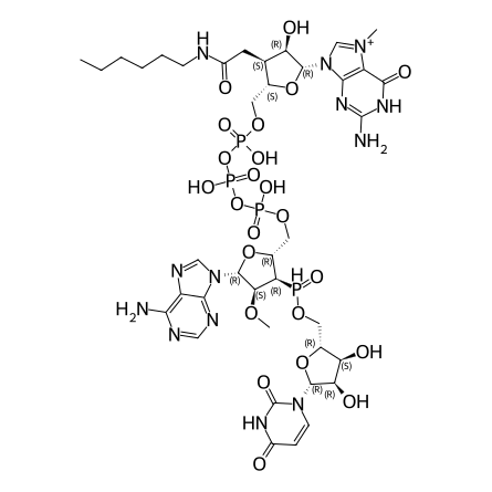 CCCCCCNC(=O)C[C@H]1[C@@H](O)[C@H](n2c[n+](C)c3c(=O)[nH]c(N)nc32)O[C@@H]1COP(=O)(O)OP(=O)(O)OP(=O)(O)OC[C@H]1O[C@@H](n2cnc3c(N)ncnc32)[C@H](OC)[C@@H]1[PH](=O)OC[C@H]1O[C@@H](n2ccc(=O)[nH]c2=O)[C@H](O)[C@@H]1O